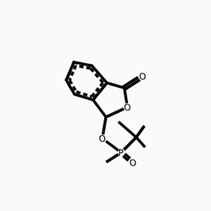 CC(C)(C)P(C)(=O)OC1OC(=O)c2ccccc21